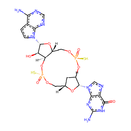 Nc1nc2c(ncn2[C@@H]2O[C@@H]3CO[P@](=O)(S)O[C@H]4[C@@H](O)[C@H](n5ccc6c(N)ncnc65)O[C@@H]4CO[P@@](=O)(S)O[C@@H]2C3)c(=O)[nH]1